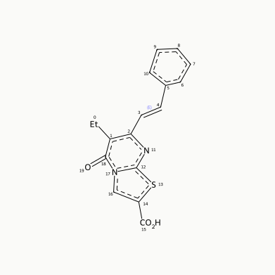 CCc1c(/C=C/c2ccccc2)nc2sc(C(=O)O)cn2c1=O